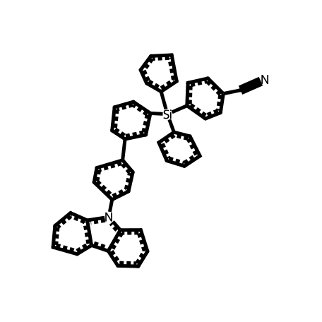 N#Cc1ccc([Si](c2ccccc2)(c2ccccc2)c2cccc(-c3ccc(-n4c5ccccc5c5ccccc54)cc3)c2)cc1